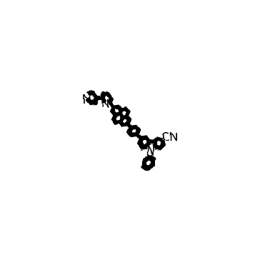 N#Cc1ccc2c(c1)c1cc(-c3ccc(-c4cc5ccc6cc(-c7cccc(-c8ccncc8)n7)cc7ccc(c4)c5c67)cc3)ccc1n2-c1ccccc1